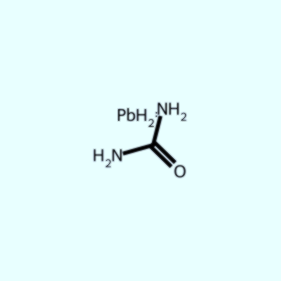 NC(N)=O.[PbH2]